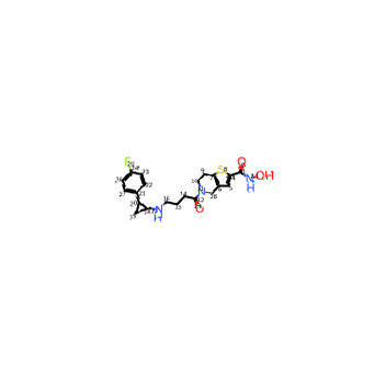 O=C(NO)c1cc2c(s1)CCN(C(=O)CCCNC1CC1c1ccc(F)cc1)C2